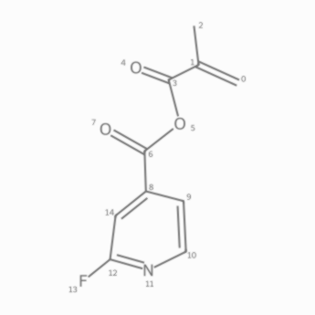 C=C(C)C(=O)OC(=O)c1ccnc(F)c1